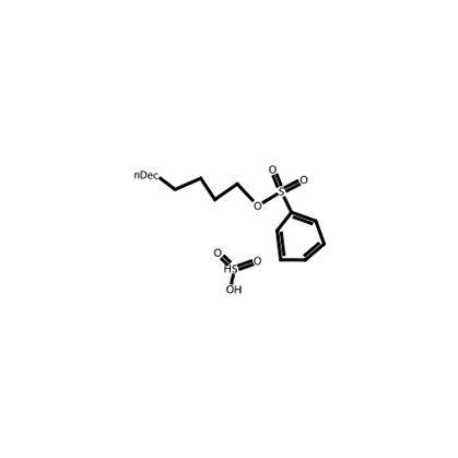 CCCCCCCCCCCCCCOS(=O)(=O)c1ccccc1.O=[SH](=O)O